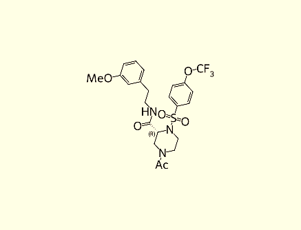 COc1cccc(CCNC(=O)[C@H]2CN(C(C)=O)CCN2S(=O)(=O)c2ccc(OC(F)(F)F)cc2)c1